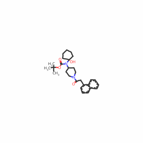 CC(C)(C)OC(=O)N(C1CCN(C(=O)Cc2cccc3ccccc23)CC1)C1(O)CCCCC1